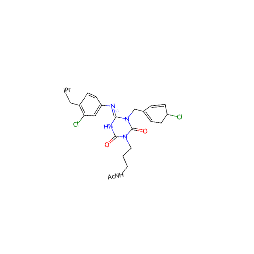 CC(=O)NCCCn1c(=O)[nH]/c(=N\c2ccc(CC(C)C)c(Cl)c2)n(CC2=CCC(Cl)C=C2)c1=O